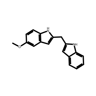 COc1ccc2[nH]c(Cc3cc4ccccc4[nH]3)cc2c1